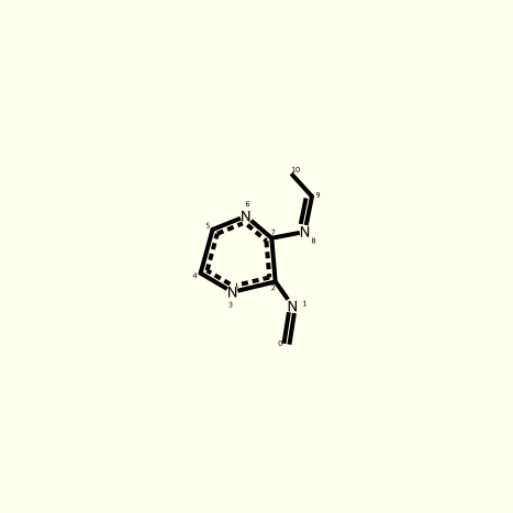 C=Nc1nccnc1/N=C\C